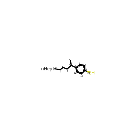 CCCCCCCCCCC(C)c1ccc(S)cc1